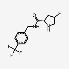 O=C(NCc1ccc(C(F)(F)F)cc1)[C@H]1CC(F)CN1